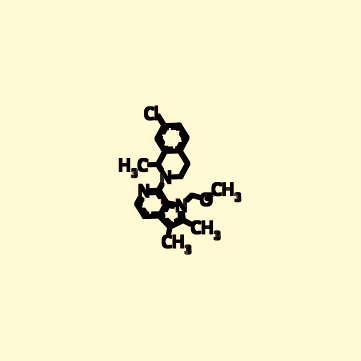 COCn1c(C)c(C)c2ccnc(N3CCc4ccc(Cl)cc4C3C)c21